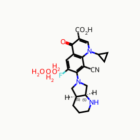 N#Cc1c(N2C[C@@H]3CCCN[C@@H]3C2)c(F)cc2c(=O)c(C(=O)O)cn(C3CC3)c12.O.O.O